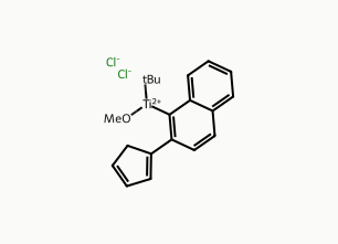 C[O][Ti+2]([c]1c(C2=CC=CC2)ccc2ccccc12)[C](C)(C)C.[Cl-].[Cl-]